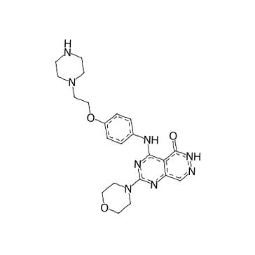 O=c1[nH]ncc2nc(N3CCOCC3)nc(Nc3ccc(OCCN4CCNCC4)cc3)c12